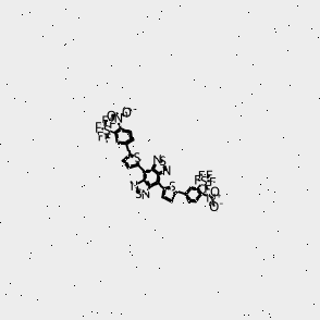 O=[N+]([O-])c1ccc(-c2ccc(-c3c4c(c(-c5ccc(-c6ccc([N+](=O)[O-])c(S(F)(F)(F)(F)F)c6)s5)c5nsnc35)N=S=N4)s2)cc1S(F)(F)(F)(F)F